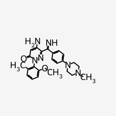 COc1cccc(C)c1-n1nc(C(=N)c2ccc(N3CCN(C)CC3)cc2)c(N)cc1=O